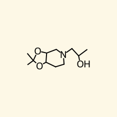 CC(O)CN1CCC2OC(C)(C)OC2C1